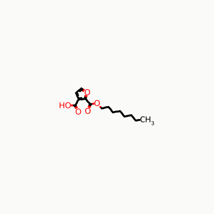 CCCCCCCCOC(=O)c1occc1C(=O)O